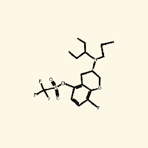 CCCN(C(CC)CC)[C@H]1COc2c(F)ccc(OS(=O)(=O)C(F)(F)F)c2C1